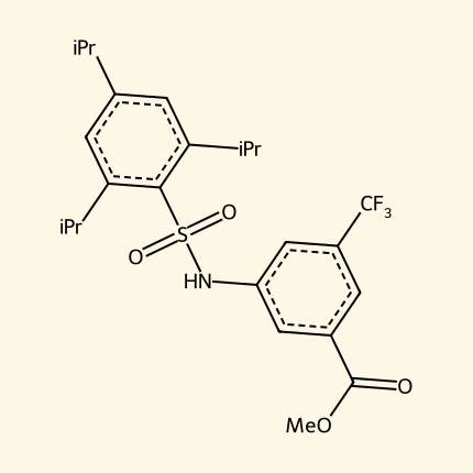 COC(=O)c1cc(NS(=O)(=O)c2c(C(C)C)cc(C(C)C)cc2C(C)C)cc(C(F)(F)F)c1